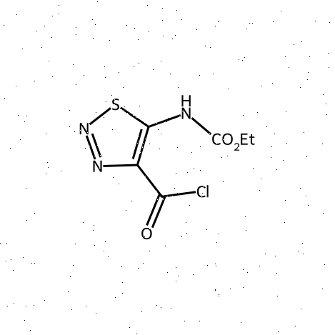 CCOC(=O)Nc1snnc1C(=O)Cl